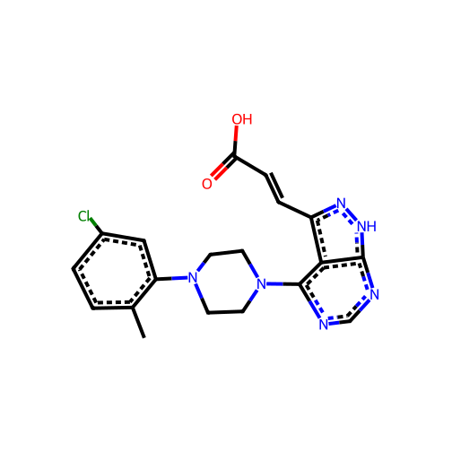 Cc1ccc(Cl)cc1N1CCN(c2ncnc3[nH]nc(C=CC(=O)O)c23)CC1